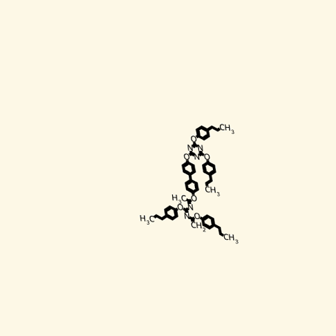 C=C(/N=C(\N=C(/C)Oc1ccc(-c2ccc(Oc3nc(Oc4ccc(CCC)cc4)nc(Oc4ccc(CCC)cc4)n3)cc2)cc1)Oc1ccc(CCC)cc1)Oc1ccc(CCC)cc1